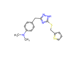 CN(C)c1ccc(Cc2n[nH]c(SCc3cccs3)n2)cc1